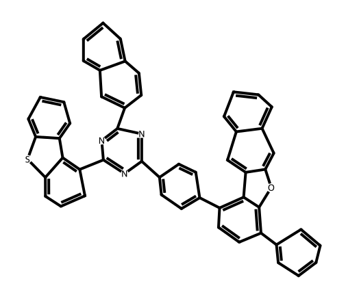 c1ccc(-c2ccc(-c3ccc(-c4nc(-c5ccc6ccccc6c5)nc(-c5cccc6sc7ccccc7c56)n4)cc3)c3c2oc2cc4ccccc4cc23)cc1